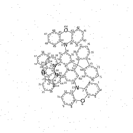 c1ccc2c(c1)Oc1ccccc1N2c1cc(N2c3ccccc3Oc3ccccc32)cc(C2(c3cc(N4c5ccccc5Oc5ccccc54)cc(N4c5ccccc5Oc5ccccc54)c3)c3ccccc3-c3ccccc32)c1